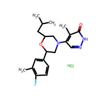 Cc1cc(C2CN(c3cn[nH]c(=O)c3C)CC(CC(C)C)O2)ccc1F.Cl